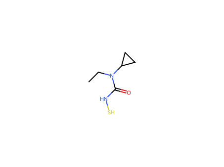 CCN(C(=O)NS)C1CC1